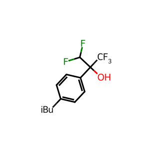 CCC(C)c1ccc(C(O)(C(F)F)C(F)(F)F)cc1